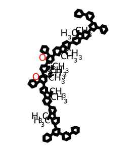 CC1(C)c2cc(-c3cc(-c4ccccc4)cc(-c4cccc(-c5ccccc5)c4)c3)ccc2-c2ccc(-c3ccc4c(c3)C(C)(C)c3cc(-c5cc6c(c7oc8ccccc8c57)-c5ccc7c(c5[Si]6(C)C)[Si](C)(C)c5cc(-c6ccc8c(c6)C(C)(C)c6cc(-c9ccc%10c(c9)C(C)(C)c9cc(-c%11cc(-c%12ccccc%12)cc(-c%12cccc(-c%13ccccc%13)c%12)c%11)ccc9-%10)ccc6-8)c6c(oc8ccccc86)c5-7)ccc3-4)cc21